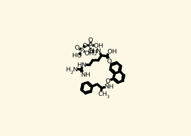 CC(Cc1ccccc1)NOc1cccc2ccccc12.N=C(N)NCCCC(N)C(=O)O.O=P(O)(O)OP(=O)(O)O